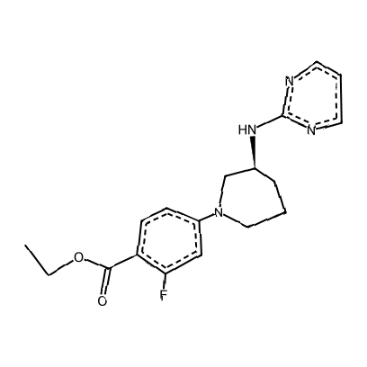 CCOC(=O)c1ccc(N2CCC[C@H](Nc3ncccn3)C2)cc1F